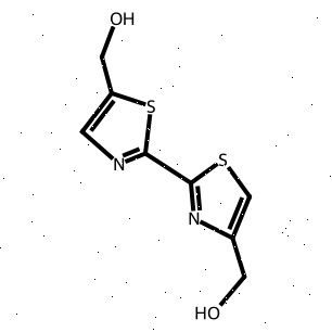 OCc1csc(-c2ncc(CO)s2)n1